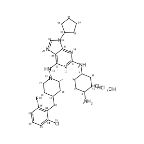 Cl.Cl.Cl.NC1CCC(Nc2nc(NN3CCC(Cc4c(F)cccc4Cl)CC3)c3ncn(C4CCCC4)c3n2)CC1